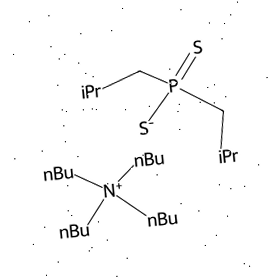 CC(C)CP(=S)([S-])CC(C)C.CCCC[N+](CCCC)(CCCC)CCCC